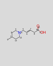 CC1CCN(C/C=C/CC(=O)O)CC1